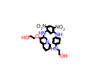 O=[N+]([O-])c1cc([N+](=O)[O-])c(Nc2ccc(NCCO)cc2)cc1NC1=C(OCCO)C=C2C=CC=CN2C1